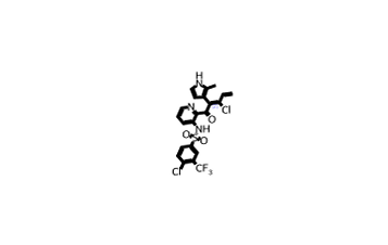 C=C/C(Cl)=C(/C(=O)c1ncccc1NS(=O)(=O)c1ccc(Cl)c(C(F)(F)F)c1)c1cc[nH]c1C